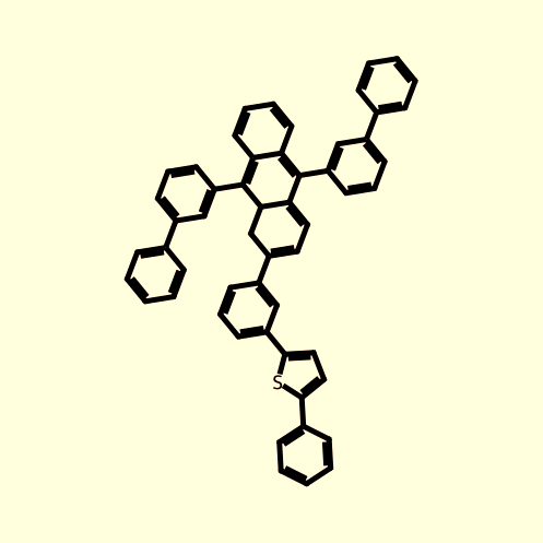 C1=C(c2cccc(-c3ccc(-c4ccccc4)s3)c2)CC2C(=C1)C(c1cccc(-c3ccccc3)c1)=c1ccccc1=C2c1cccc(-c2ccccc2)c1